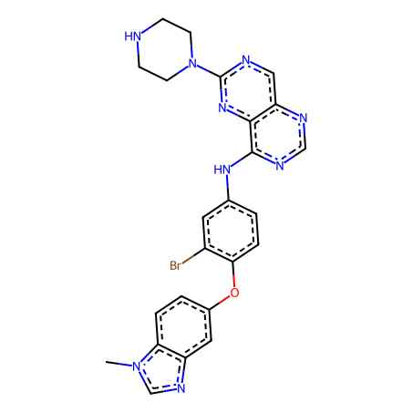 Cn1cnc2cc(Oc3ccc(Nc4ncnc5cnc(N6CCNCC6)nc45)cc3Br)ccc21